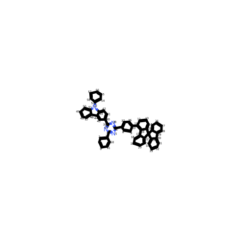 c1ccc(-c2nc(-c3ccc(-c4cccc5c4-c4ccccc4C54c5ccccc5-c5ccccc54)cc3)nc(-c3ccc4c(c3)c3ccccc3n4-c3ccccc3)n2)cc1